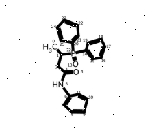 CC(CC(=O)Nc1ccccc1)P(=O)(c1ccccc1)c1ccccc1